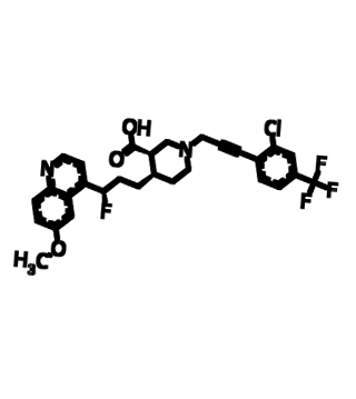 COc1ccc2nccc([C@H](F)CC[C@@H]3CCN(CC#Cc4ccc(C(F)(F)F)cc4Cl)C[C@@H]3C(=O)O)c2c1